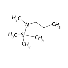 CCCN(C)[Si](C)(C)C